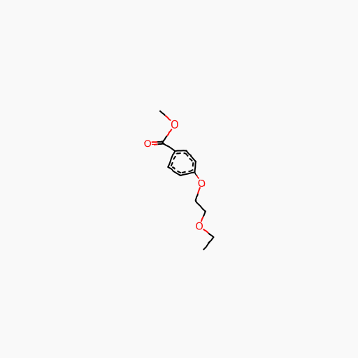 CCOCCOc1ccc(C(=O)OC)cc1